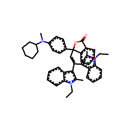 CCn1c(C)c(C(=CC2(c3ccc(N(C)C4CCCCC4)cc3)OC(=O)c3ccccc32)c2c(C)n(CC)c3ccccc23)c2ccccc21